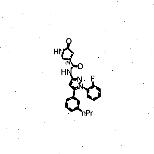 CCCc1cccc(-c2cc(NC(=O)[C@H]3CNC(=O)C3)nn2-c2ccccc2F)c1